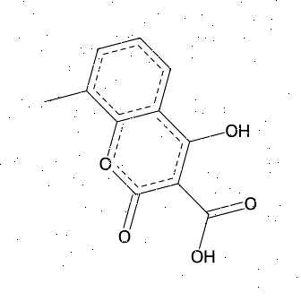 Cc1cccc2c(O)c(C(=O)O)c(=O)oc12